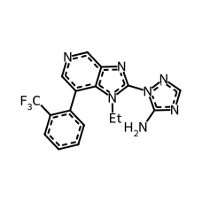 CCn1c(-n2ncnc2N)nc2cncc(-c3ccccc3C(F)(F)F)c21